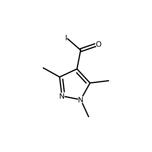 Cc1nn(C)c(C)c1C(=O)I